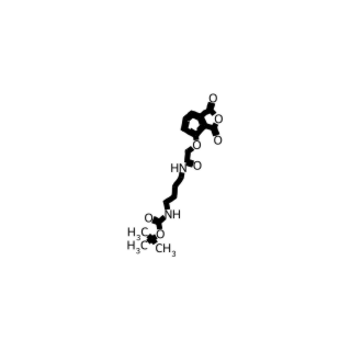 CC(C)(C)OC(=O)NCCCCNC(=O)COc1cccc2c1C(=O)OC2=O